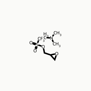 CN(C)C.O=S(=O)(OCC1CO1)C(F)(F)F